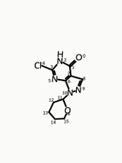 O=c1[nH]c(Cl)nc2c1cnn2C1CCCCO1